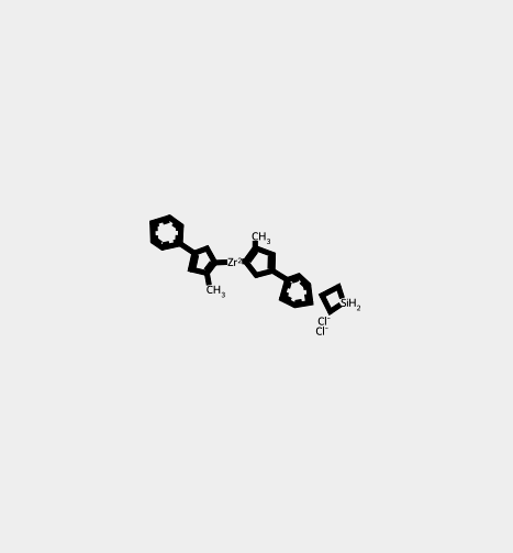 C1C[SiH2]C1.CC1=[C]([Zr+2][C]2=C(C)C=C(c3ccccc3)C2)CC(c2ccccc2)=C1.[Cl-].[Cl-]